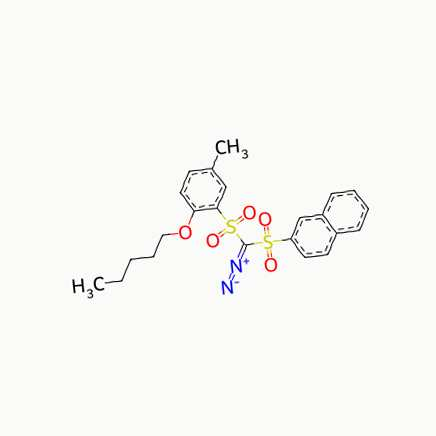 CCCCCOc1ccc(C)cc1S(=O)(=O)C(=[N+]=[N-])S(=O)(=O)c1ccc2ccccc2c1